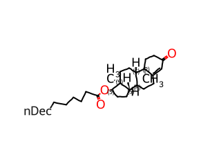 CCCCCCCCCCCCCCCC(=O)O[C@H]1CC[C@H]2[C@@H]3CCC4=CC(=O)CC[C@]4(C)[C@H]3CC[C@]12C